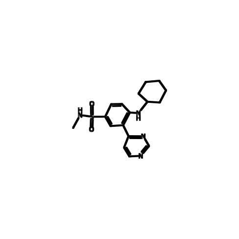 CNS(=O)(=O)c1ccc(NC2CCCCC2)c(-c2ccncn2)c1